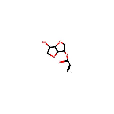 C=CC(=O)OC1COC2C(O)COC12